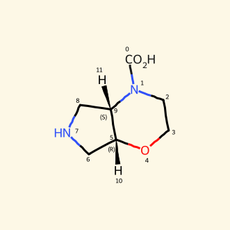 O=C(O)N1CCO[C@@H]2CNC[C@@H]21